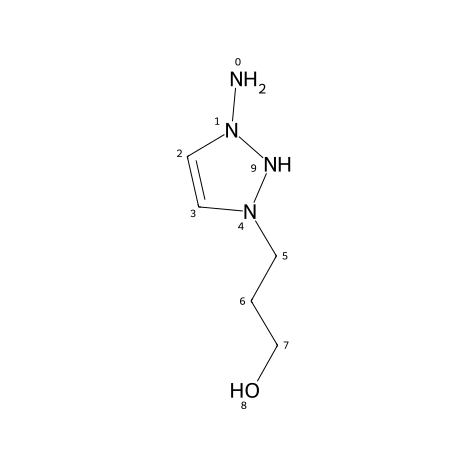 NN1C=CN(CCCO)N1